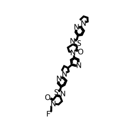 O=C1c2sc(-c3ccc(N4CCC(c5cncc(N6CCc7nc(-c8ccc(N9CCCC9)nc8)sc7C6=O)c5)C4)nc3)nc2CCN1CCF